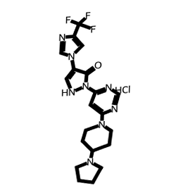 Cl.O=c1c(-n2cnc(C(F)(F)F)c2)c[nH]n1-c1cc(N2CCC(N3CCCC3)CC2)ncn1